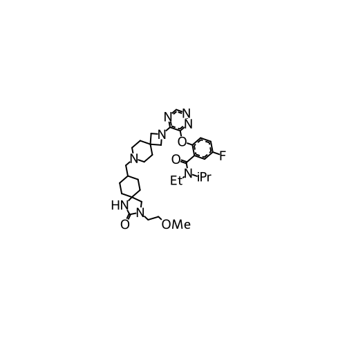 CCN(C(=O)c1cc(F)ccc1Oc1nncnc1N1CC2(CCN(CC3CCC4(CC3)CN(CCOC)C(=O)N4)CC2)C1)C(C)C